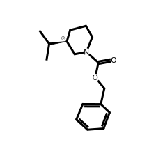 CC(C)[C@H]1CCCN(C(=O)OCc2ccccc2)C1